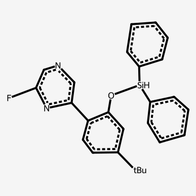 CC(C)(C)c1ccc(-c2cncc(F)n2)c(O[SiH](c2ccccc2)c2ccccc2)c1